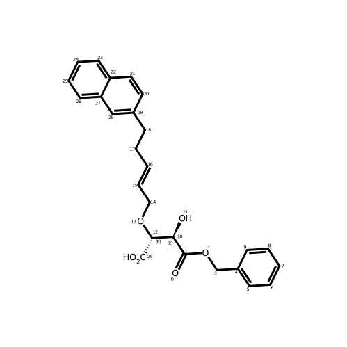 O=C(OCc1ccccc1)[C@H](O)[C@@H](OCC=CCCc1ccc2ccccc2c1)C(=O)O